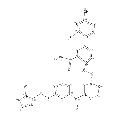 CNC(=O)c1cc(-c2ccc(O)nc2F)ccc1OC[C@H]1CN(C(=O)c2cccc(OCc3nnnn3C)c2)CCO1